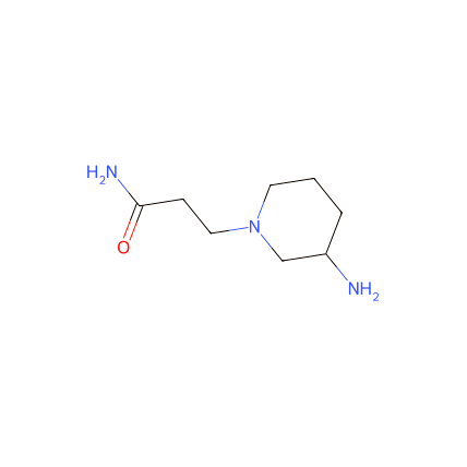 NC(=O)CCN1CCCC(N)C1